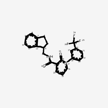 O=C(NCC1CCc2ccccc21)c1cccn(-c2cccc(C(F)(F)F)c2)c1=O